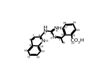 CC(=NC(=N)Nc1ccc2ccccc2n1)c1ccccc1C(=O)O